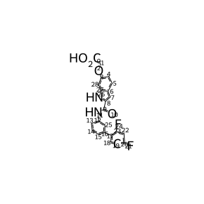 O=C(O)COc1ccc2cc(C(=O)Nc3cccc(-c4ccc(F)cc4F)c3)[nH]c2c1